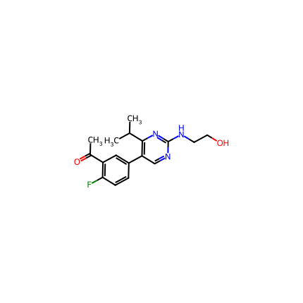 CC(=O)c1cc(-c2cnc(NCCO)nc2C(C)C)ccc1F